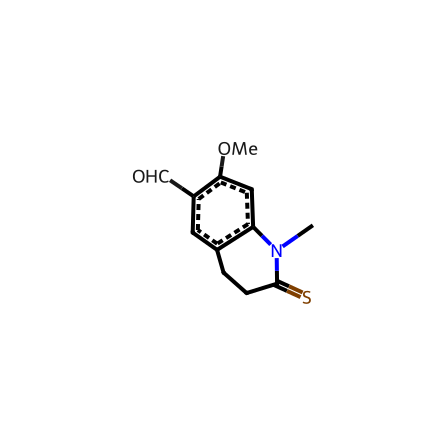 COc1cc2c(cc1C=O)CCC(=S)N2C